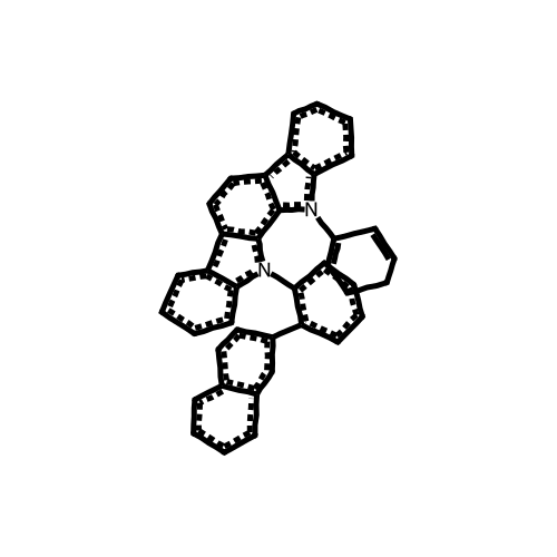 C1=CC(n2c3ccccc3c3ccc4c5ccccc5n(-c5ccccc5-c5ccc6ccccc6c5)c4c32)=CCC1